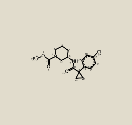 CC(C)(C)OC(=O)N1CCC[C@@H](NC(=O)C2(c3ccc(Cl)cc3)CC2)C1